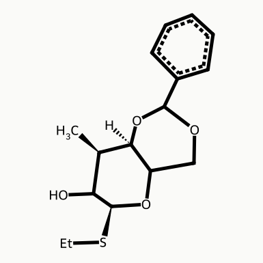 CCS[C@@H]1OC2COC(c3ccccc3)O[C@@H]2[C@H](C)C1O